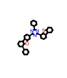 c1ccc(-c2nc(-c3ccc4c(c3)oc3c(-c5ccccc5)cccc34)nc(-c3cccc4c3sc3ccccc34)n2)cc1